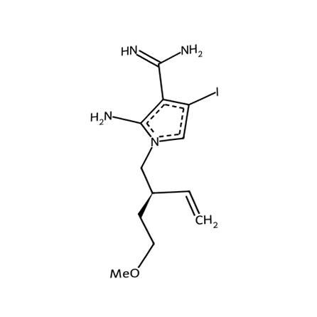 C=C[C@@H](CCOC)Cn1cc(I)c(C(=N)N)c1N